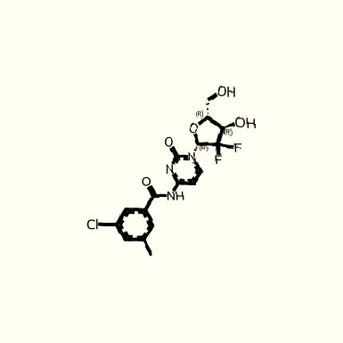 Cc1cc(Cl)cc(C(=O)Nc2ccn([C@@H]3O[C@H](CO)[C@@H](O)C3(F)F)c(=O)n2)c1